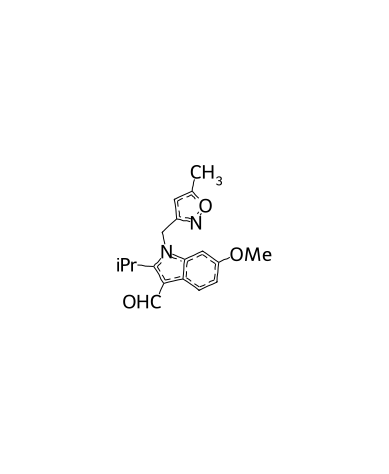 COc1ccc2c(C=O)c(C(C)C)n(Cc3cc(C)on3)c2c1